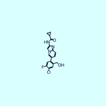 O=C(Nc1cn2cc(-c3cc(F)c(Cl)cc3CO)ccc2n1)C1CC1